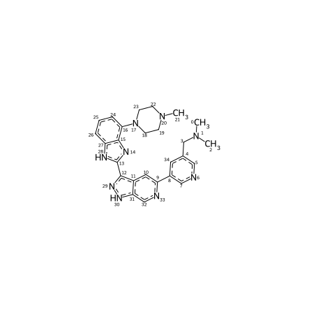 CN(C)Cc1cncc(-c2cc3c(-c4nc5c(N6CCN(C)CC6)cccc5[nH]4)n[nH]c3cn2)c1